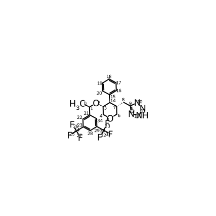 C[C@@H](O[C@H]1COC[C@@H](Cc2nn[nH]n2)[C@@H]1c1ccccc1)c1cc(C(F)(F)F)cc(C(F)(F)F)c1